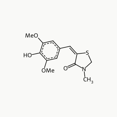 COc1cc(C=C2SCN(C)C2=O)cc(OC)c1O